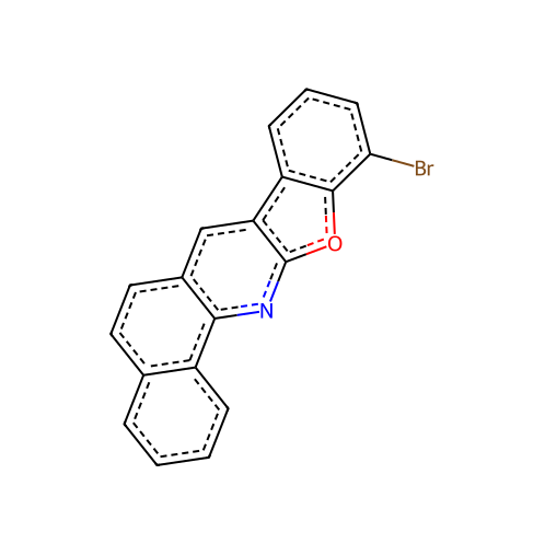 Brc1cccc2c1oc1nc3c(ccc4ccccc43)cc12